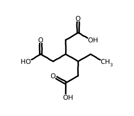 CCC(CC(=O)O)C(CC(=O)O)CC(=O)O